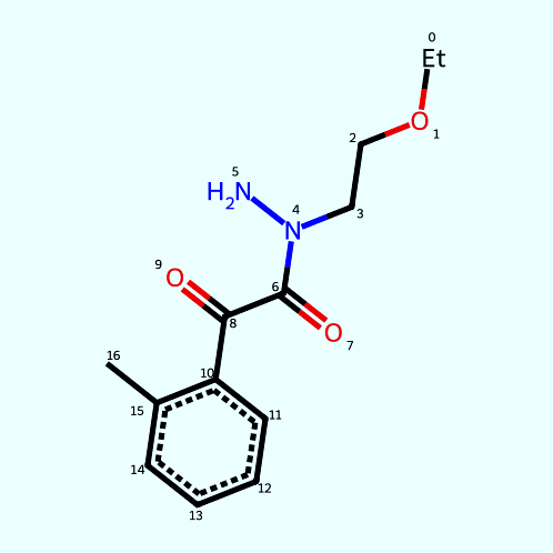 CCOCCN(N)C(=O)C(=O)c1ccccc1C